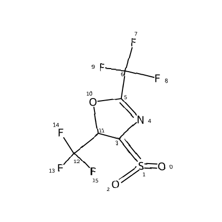 O=S(=O)=C1N=C(C(F)(F)F)OC1C(F)(F)F